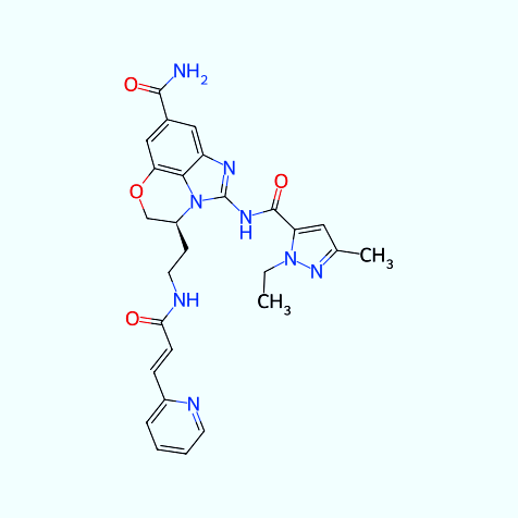 CCn1nc(C)cc1C(=O)Nc1nc2cc(C(N)=O)cc3c2n1[C@@H](CCNC(=O)/C=C/c1ccccn1)CO3